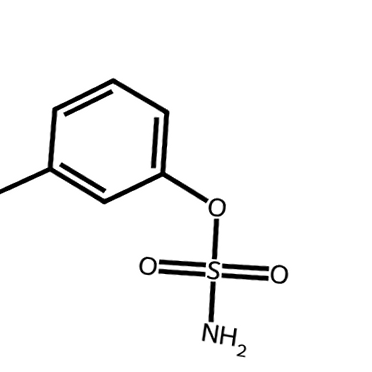 Cc1cccc(OS(N)(=O)=O)c1